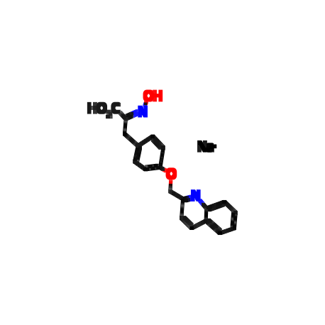 O=C(O)C(Cc1ccc(OCc2ccc3ccccc3n2)cc1)=NO.[Na]